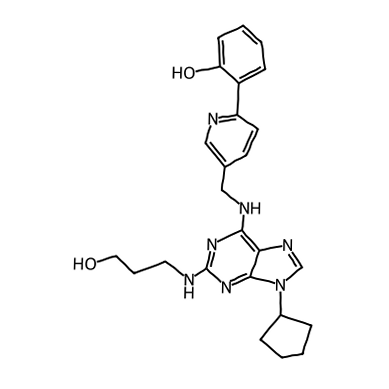 OCCCNc1nc(NCc2ccc(-c3ccccc3O)nc2)c2ncn(C3CCCC3)c2n1